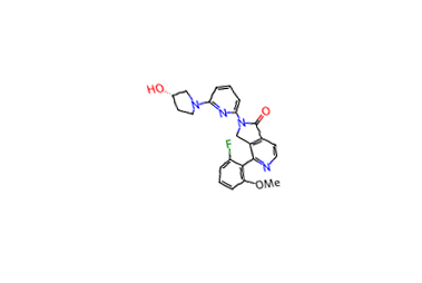 COc1cccc(F)c1-c1nccc2c1CN(c1cccc(N3CC[C@H](O)C3)n1)C2=O